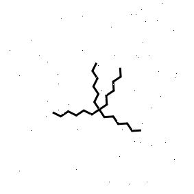 CCCCCCC(CCCCCC)(CCCCCC)CCCCCC